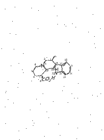 CC1CN2CCC[C@H](C(=O)O)C2c2[nH]c3ccccc3c21